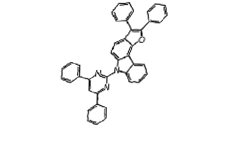 c1ccc(-c2cc(-c3ccccc3)nc(-n3c4ccccc4c4c5oc(-c6ccccc6)c(-c6ccccc6)c5ccc43)n2)cc1